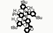 Cc1cc(C(C)(C)C)cc(C)c1N1c2cc(-c3coc4ccccc34)ccc2B2c3c1cc(C(C)C)cc3N(c1c(C)cc(C(C)(C)C)cc1C)c1oc3ccc(C(C)(C)C)cc3c12